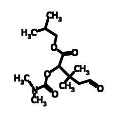 CC(C)COC(=O)C(OC(=O)N(C)C)C(C)(C)CC=O